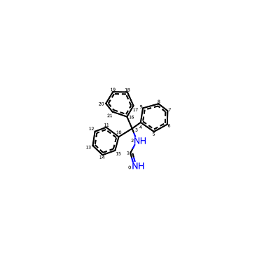 N=CNC(c1ccccc1)(c1ccccc1)c1ccccc1